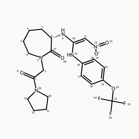 O=C(CN1CCCC[C@H](N/C(=C/[N+](=O)[O-])Nc2ccc(OC(F)(F)F)cc2)C1=O)N1CCCC1